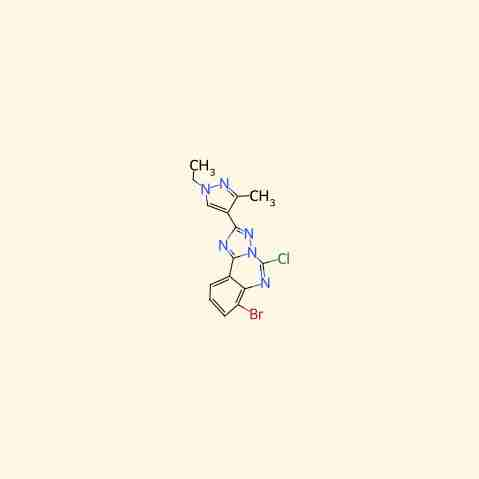 CCn1cc(-c2nc3c4cccc(Br)c4nc(Cl)n3n2)c(C)n1